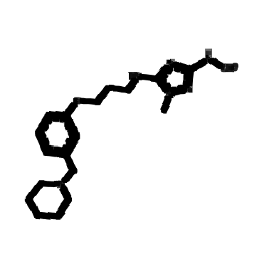 Cn1nc(NC=O)nc1NCCCOc1cccc(CN2CCCCC2)c1